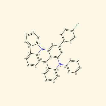 Fc1ccc(-c2cc3c4c(c2)-n2c5ccccc5c5cccc(c52)B4c2ccccc2N3c2ccccc2)cc1